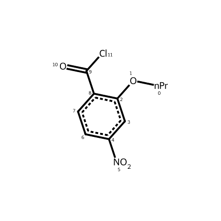 CCCOc1cc([N+](=O)[O-])ccc1C(=O)Cl